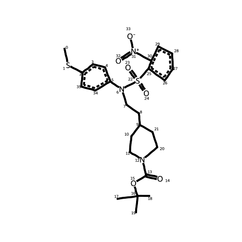 CSc1ccc(N(CCC2CCN(C(=O)OC(C)(C)C)CC2)S(=O)(=O)c2ccccc2[N+](=O)[O-])cc1